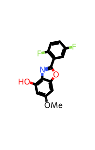 COc1cc(O)c2nc(-c3cc(F)ccc3F)oc2c1